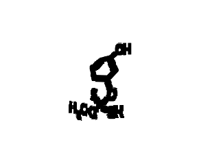 COP(=S)(S)Oc1cccc(O)c1